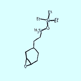 CC[Si](CC)(CC)O[SiH2]CCC1CCC2OC2C1